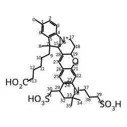 Cc1ccc2c(c1)C(C)(CCCCCC(=O)O)C1=[N+]2CCC2Oc3cc4c(cc3C=C12)C(CS(=O)(=O)O)CC(C)(C)N4CCCS(=O)(=O)O